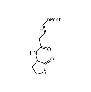 CCCCC/C=C/CC(=O)NC1CCSC1=O